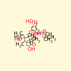 C=C[C@]1(C)C[C@@H]([C@H](Oc2cc(CNC(=O)OC(C)(C)C)c3c(c2)B(O)OC3)C(=O)O)[C@@]2(C)[C@H](C)CC[C@]3(CC(O)C(=O)[C@H]32)[C@@H](C)[C@@H]1O